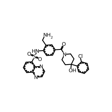 NCc1cc(C(=O)N2CCC(O)(c3ccccc3Cl)CC2)ccc1NS(=O)(=O)c1cccc2nccnc12